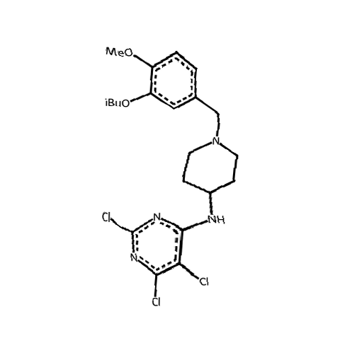 COc1ccc(CN2CCC(Nc3nc(Cl)nc(Cl)c3Cl)CC2)cc1OCC(C)C